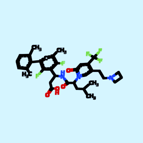 Cc1cc(-c2c(C)cccc2C)c(F)c(C(CC(=O)O)NC(=O)C(CC(C)C)n2cc(CCN3CCC3)c(C(F)(F)F)cc2=O)c1F